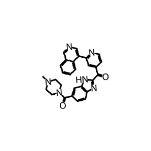 CN1CCN(C(=O)c2ccc3nc(C(=O)c4ccnc(-c5cncc6ccccc56)c4)[nH]c3c2)CC1